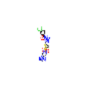 O=C(N=[N+]=NCc1ccc(S(=O)(=O)N2CCC(n3nccn3)CC2)s1)c1ccc(Cl)cc1